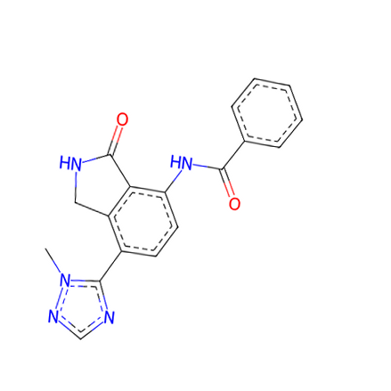 Cn1ncnc1-c1ccc(NC(=O)c2ccccc2)c2c1CNC2=O